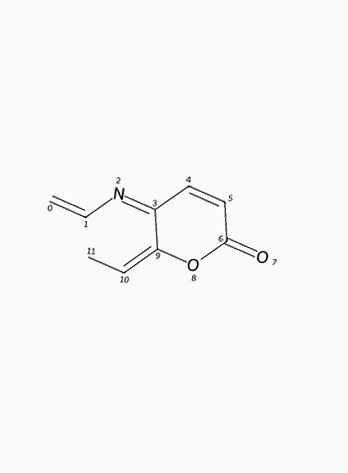 C=C/N=C1/C=CC(=O)O/C1=C/C